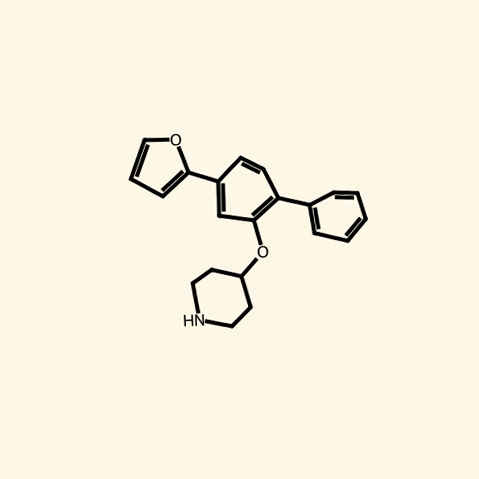 c1ccc(-c2ccc(-c3ccco3)cc2OC2CCNCC2)cc1